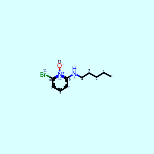 CCCCCNc1cccc(Br)[n+]1[O-]